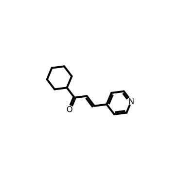 O=C(C=Cc1ccncc1)C1CCCCC1